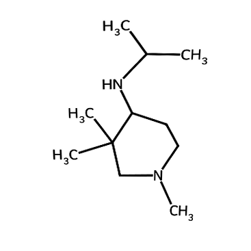 CC(C)NC1CCN(C)CC1(C)C